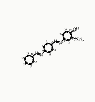 Nc1cc(N=Nc2ccc(N=Nc3ccccc3)cc2)ccc1O